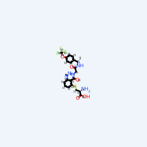 C[C@H](NC(=O)Cn1nnc2cccc(SC[C@H](N)C(=O)O)c2c1=O)c1ccc(OC(F)(F)F)cc1